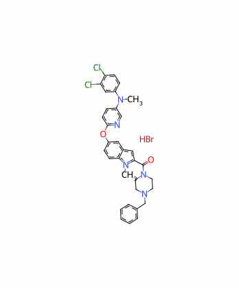 Br.CN(c1ccc(Oc2ccc3c(c2)cc(C(=O)N2CCN(Cc4ccccc4)CC2)n3C)nc1)c1ccc(Cl)c(Cl)c1